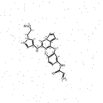 C=CC(=O)Nc1ccc(F)c(Oc2nc(Nc3cnn(CCOC)c3)nn3cccc23)c1